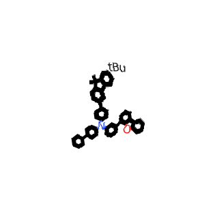 CC(C)(C)c1ccc2c(c1)C(C)(C)c1ccc(-c3ccc(N(c4ccc(-c5ccccc5)cc4)c4cccc(-c5cccc6c5oc5ccccc56)c4)cc3)cc1-2